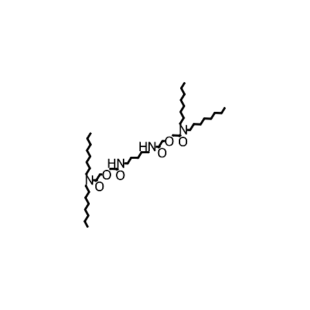 CCCCCCCCN(CCCCCCCC)C(=O)COCC(=O)NCCCCCNC(=O)COCC(=O)N(CCCCCCCC)CCCCCCCC